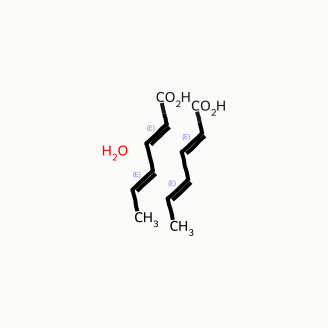 C/C=C/C=C/C(=O)O.C/C=C/C=C/C(=O)O.O